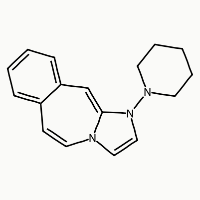 C1=CN2C=CN(N3CCCCC3)C2=Cc2ccccc21